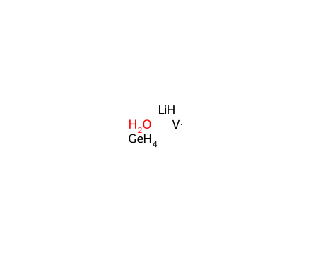 O.[GeH4].[LiH].[V]